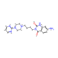 Nc1ccc2c(=O)n(CCCCN3CCN(c4ncccn4)CC3)c(=O)[nH]c2c1